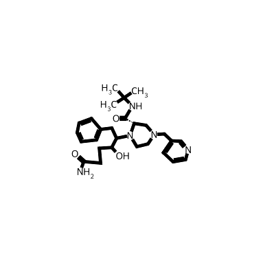 CC(C)(C)NC(=O)[C@@H]1CN(Cc2cccnc2)CCN1C(Cc1ccccc1)C(O)CCC(N)=O